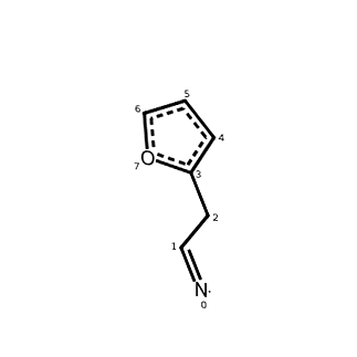 [N]=CCc1ccco1